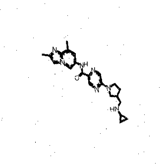 Cc1cn2cc(NC(=O)c3cnc(N4CCC(CNC5CC5)C4)cn3)cc(C)c2n1